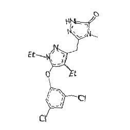 CCc1c(Cc2n[nH]c(=O)n2C)nn(CC)c1Oc1cc(Cl)cc(Cl)c1